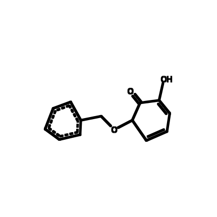 O=C1C(O)=CC=CC1OCc1ccccc1